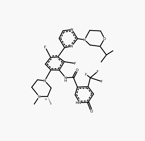 CC(C)C1CN(c2nccc(-c3c(F)cc(N4CCN(C)[C@@H](C)C4)c(NC(=O)c4c[nH]c(=O)cc4C(F)(F)F)c3F)n2)CCO1